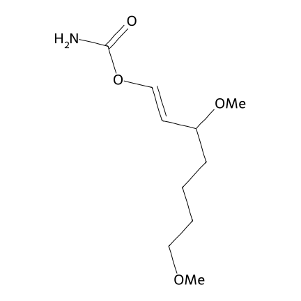 COCCCCC(C=COC(N)=O)OC